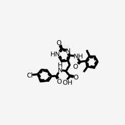 Cc1cccc(C)c1C(=O)Nc1nc(=O)[nH]cc1CC(NC(=O)c1ccc(Cl)cc1)C(=O)O